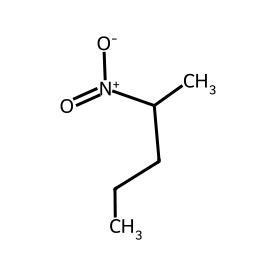 CCCC(C)[N+](=O)[O-]